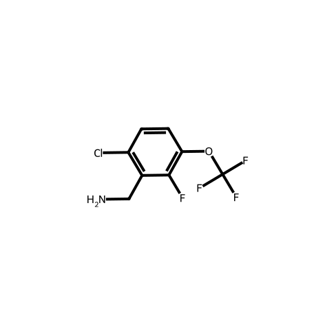 NCc1c(Cl)ccc(OC(F)(F)F)c1F